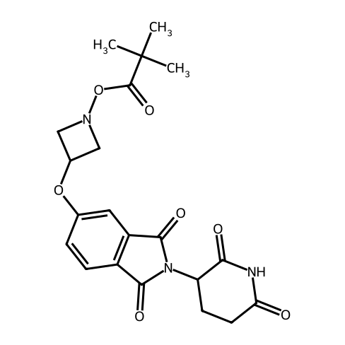 CC(C)(C)C(=O)ON1CC(Oc2ccc3c(c2)C(=O)N(C2CCC(=O)NC2=O)C3=O)C1